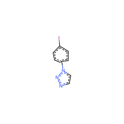 Ic1ccc(-n2ccnn2)cc1